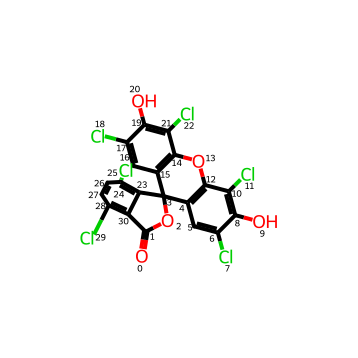 O=C1OC2(c3cc(Cl)c(O)c(Cl)c3Oc3c2cc(Cl)c(O)c3Cl)c2c(Cl)ccc(Cl)c21